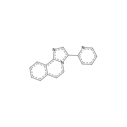 c1ccc(-c2cnc3c4ccccc4ccn23)nc1